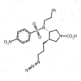 CC(C)CCN([C@@H]1CN(C(=O)O)C[C@H]1CCCN=[N+]=[N-])S(=O)(=O)c1ccc([N+](=O)[O-])cc1